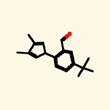 CC1=CC(c2ccc(C(C)(C)C)cc2C=O)C=C1C